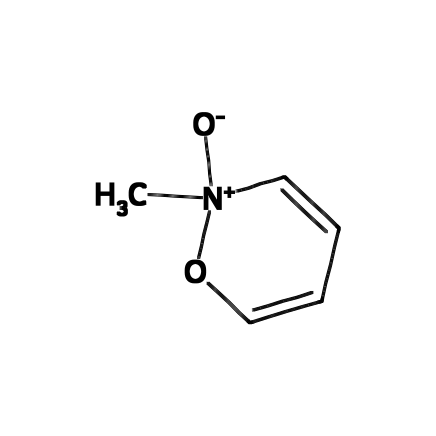 C[N+]1([O-])C=CC=CO1